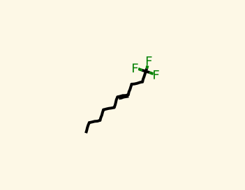 CCCCC/C=C/CCC(F)(F)F